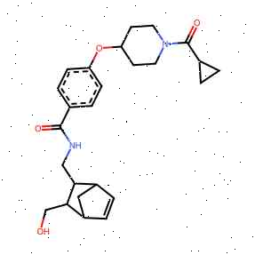 O=C(NCC1C2C=CC(C2)C1CO)c1ccc(OC2CCN(C(=O)C3CC3)CC2)cc1